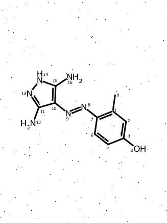 Cc1cc(O)ccc1N=Nc1c(N)n[nH]c1N